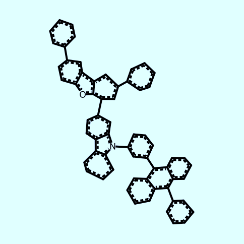 c1ccc(-c2ccc3oc4c(-c5ccc6c7ccccc7n(-c7cccc(-c8c9ccccc9c(-c9ccccc9)c9ccccc89)c7)c6c5)cc(-c5ccccc5)cc4c3c2)cc1